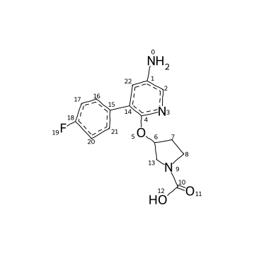 Nc1cnc(OC2CCN(C(=O)O)C2)c(-c2ccc(F)cc2)c1